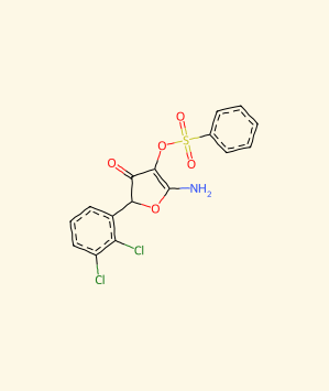 NC1=C(OS(=O)(=O)c2ccccc2)C(=O)C(c2cccc(Cl)c2Cl)O1